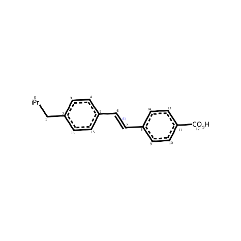 CC(C)Cc1ccc(/C=C/c2ccc(C(=O)O)cc2)cc1